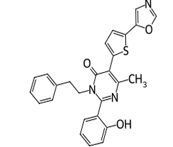 Cc1nc(-c2ccccc2O)n(CCc2ccccc2)c(=O)c1-c1ccc(-c2cnco2)s1